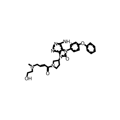 CN(C/C=C/C(=O)N1CCC(n2c(=O)n(-c3ccc(Oc4ccccc4)cc3)c3c(N)ncnc32)C1)CCO